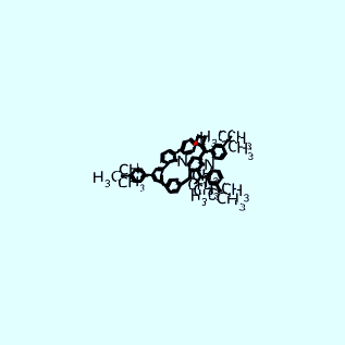 CCC1c2cc(C(C)(C)C)ccc2N2c3ccc(C(C)(C)C)cc3C(=C3CCC3)c3cc4c(c1c32)C(C)(C)c1ccc(cc1)-c1cc(-c2ccc(C(C)(C)C)cc2)cc(c1)-c1cccc2c3ccccc3n-4c12